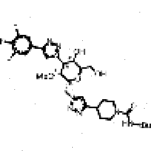 CO[C@@H]1[C@@H](n2cc(-c3cc(F)c(F)c(F)c3)nn2)[C@@H](O)[C@@H](CO)O[C@@H]1Cn1cc(C2CCN(C(=O)NC(C)(C)C)CC2)nn1